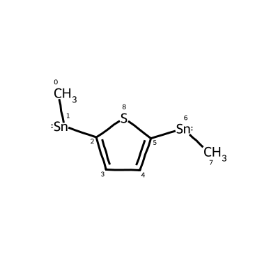 [CH3][Sn][c]1cc[c]([Sn][CH3])s1